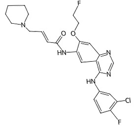 O=C(C=CCN1CCCCC1)Nc1cc2c(Nc3ccc(F)c(Cl)c3)ncnc2cc1OCCF